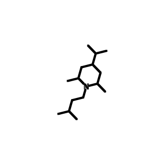 CC(C)CCN1C(C)CC(C(C)C)CC1C